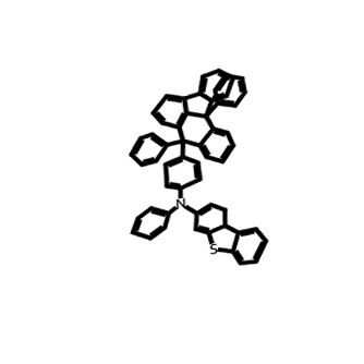 C1=C2Sc3ccccc3C2CC=C1N(c1ccccc1)c1ccc(C2(c3ccccc3)c3ccccc3C3(c4ccccc4)c4ccccc4-c4cccc2c43)cc1